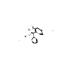 CC(C)Cn1c(CNC(=O)OC(C)(C)C)c(-c2ccccc2)c2ccc(C(=O)O)cc2c1=O